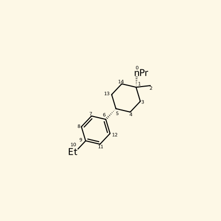 CCC[C@]1(C)CC[C@H](c2ccc(CC)cc2)CC1